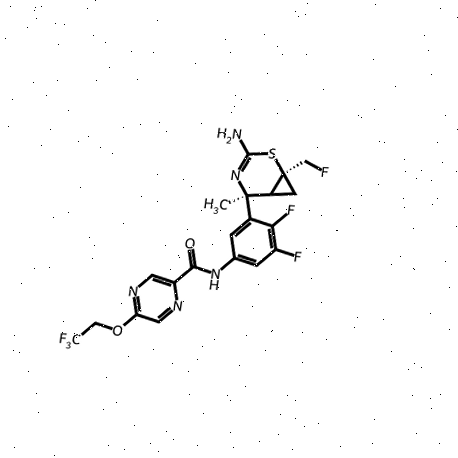 C[C@]1(c2cc(NC(=O)c3cnc(OCC(F)(F)F)cn3)cc(F)c2F)N=C(N)S[C@@]2(CF)CC21